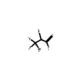 C=C(F)C(F)C(F)(F)Br